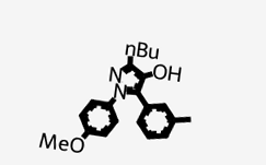 CCCCc1nn(-c2ccc(OC)cc2)c(-c2cccc(C)c2)c1O